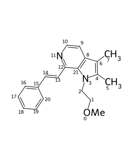 COCCn1c(C)c(C)c2ccnc(C=Cc3ccccc3)c21